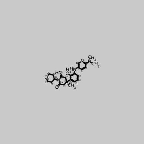 Cc1c(Nc2ccc(N(C)C)nc2)cccc1[C@@]1(C)CC(=N)N(C2CCOCC2)C(=O)C1